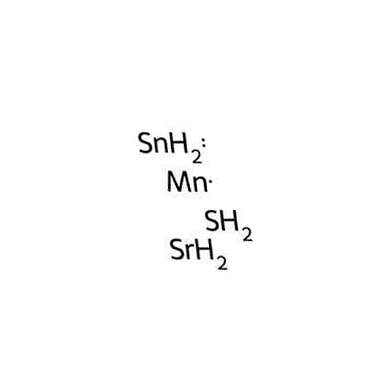 S.[Mn].[SnH2].[SrH2]